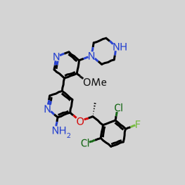 COc1c(-c2cnc(N)c(O[C@H](C)c3c(Cl)ccc(F)c3Cl)c2)cncc1N1CCNCC1